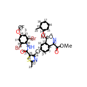 CO/N=C(/C(=O)OC)c1ccccc1COc1ccccc1C.Cc1nc(C(F)(F)F)c(C(=O)Nc2c(Br)cc(OC(F)(F)F)cc2Br)s1